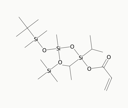 C=CC(=O)O[Si](O[Si](C)(O[Si](C)(C)C)O[Si](C)(C)C(C)(C)C)(C(C)C)C(C)C